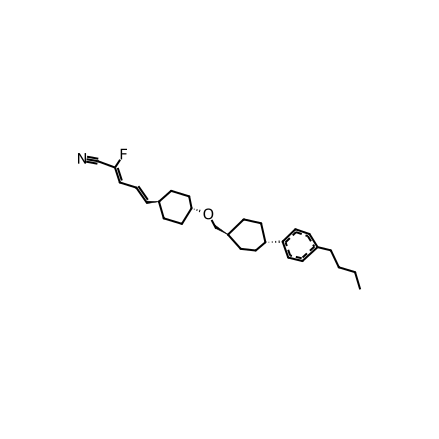 CCCCc1ccc([C@H]2CC[C@H](CO[C@H]3CC[C@H](C=CC=C(F)C#N)CC3)CC2)cc1